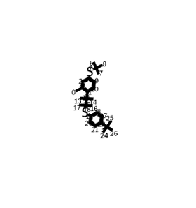 Cc1cc(SC(C)(C)C)ccc1C(C)(C)C(C)(C)Sc1ccc(C(C)(C)C)cc1